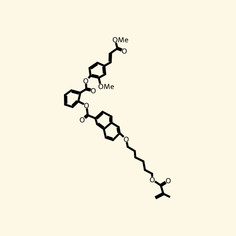 C=C(C)C(=O)OCCCCCCOc1ccc2cc(C(=O)Oc3ccccc3C(=O)Oc3ccc(/C=C/C(=O)OC)cc3OC)ccc2c1